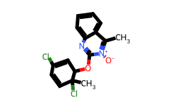 Cc1c2ccccc2nc(OC2C=C(Cl)C=CC2(C)Cl)[n+]1[O-]